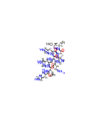 CC(C)C[C@H](NC(=O)[C@H](Cc1c[nH]cn1)NC(=O)[C@H](Cc1c[nH]cn1)NC(=O)[C@H](CCCCN)NC(=O)[C@H](Cc1c[nH]cn1)NC(=O)[C@H](CC(C)C)NC(=O)[C@@H](N)Cc1c[nH]cn1)C(=O)O